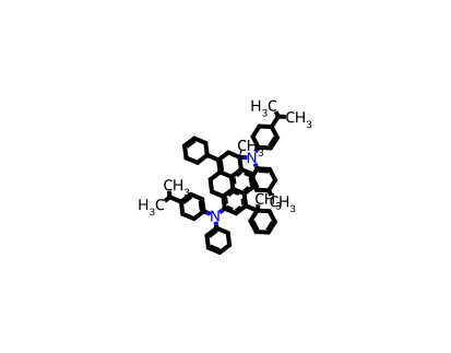 CC1C=CC(N(C2C=CC(C(C)C)CC2)[C@]2(C)CC(C3CC=CCC3)=C3CCc4c(N(C5=CC=CCC5)C5=CC=C(C(C)C)CC5)cc(C5(C)C=CC=CC5)c5ccc2c3c45)=CC1